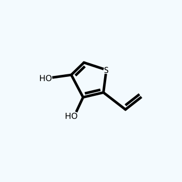 C=Cc1scc(O)c1O